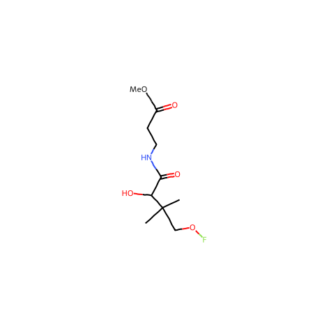 COC(=O)CCNC(=O)C(O)C(C)(C)COF